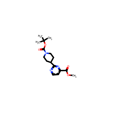 COC(=O)c1ccnc(C2CCN(C(=O)OC(C)(C)C)CC2)n1